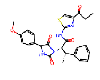 CCC(=O)c1csc(NC(=O)[C@H]([C@@H](C)c2ccccc2)N2C(=O)NC(c3ccc(OC)cc3)C2=O)n1